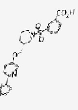 O=C(O)c1cccc(S(=O)(=O)N2CCC[C@@H](COc3ccc(-c4ccn[nH]4)nc3)C2)c1